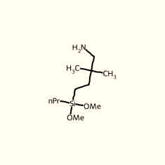 CCC[Si](CCC(C)(C)CN)(OC)OC